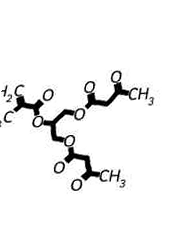 C=C(C)C(=O)OC(COC(=O)CC(C)=O)COC(=O)CC(C)=O